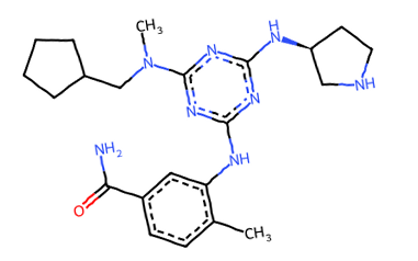 Cc1ccc(C(N)=O)cc1Nc1nc(N[C@H]2CCNC2)nc(N(C)CC2CCCC2)n1